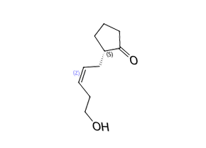 O=C1CCC[C@H]1C/C=C\CCO